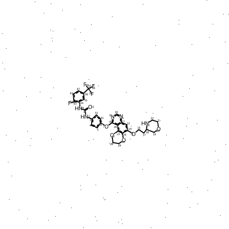 O=C(Nc1ccc(Oc2ncnc3cc(OCCC4COCCN4)c4c(c23)OCCO4)cc1)Nc1cc(C(F)(F)F)ccc1F